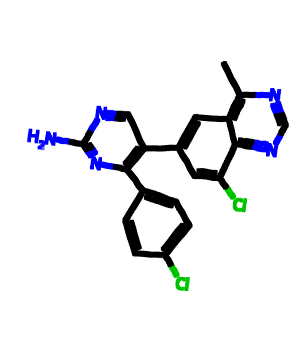 Cc1ncnc2c(Cl)cc(-c3cnc(N)nc3-c3ccc(Cl)cc3)cc12